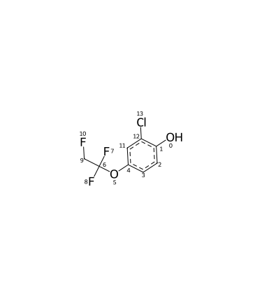 Oc1ccc(OC(F)(F)CF)cc1Cl